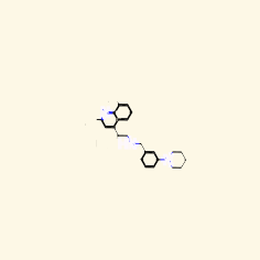 Cc1cc(C(C)CNCc2cccc(N3CCCCC3)c2)c2cccc(C)c2n1